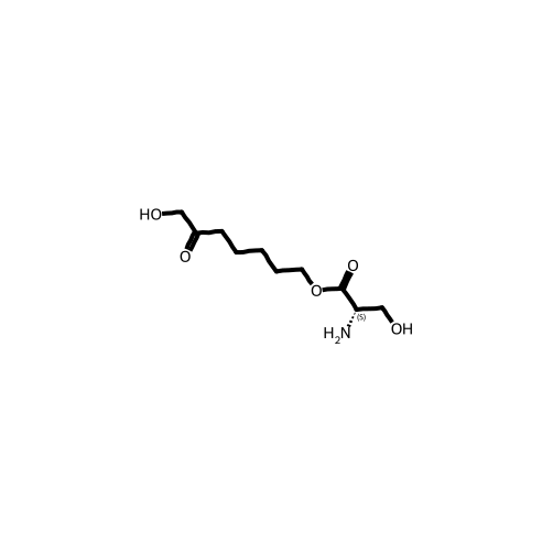 N[C@@H](CO)C(=O)OCCCCCC(=O)CO